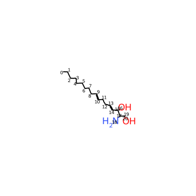 CCCCCCCCCC=CCCC=CC(O)C(N)CO